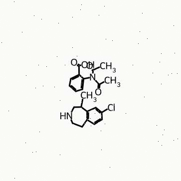 CC(=O)N(C(C)=O)c1ccccc1C(=O)O.CC1CNCCc2ccc(Cl)cc21